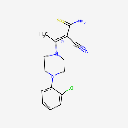 C/C(=C(/C#N)C(N)=S)N1CCN(c2ccccc2Cl)CC1